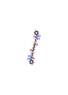 O=C(NCCOC(=O)CCCCC(=O)OCCNC(=O)NC1CCCCC1)NC1CCCCC1